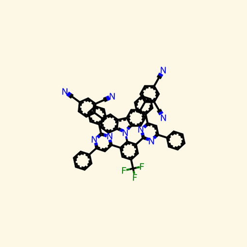 N#Cc1ccc(-c2ccc3c(c2)c2cc(-c4ccc(C#N)cc4C#N)ccc2n3-c2c(-c3cc(-c4ccccc4)nc(-c4ccccc4)n3)cc(C(F)(F)F)cc2-c2nc(-c3ccccc3)cc(-c3ccccc3)n2)c(C#N)c1